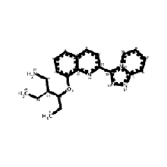 CCC(Oc1cccc2ccc(-c3nnc4ccccn34)nc12)[C@@H](CC)CN